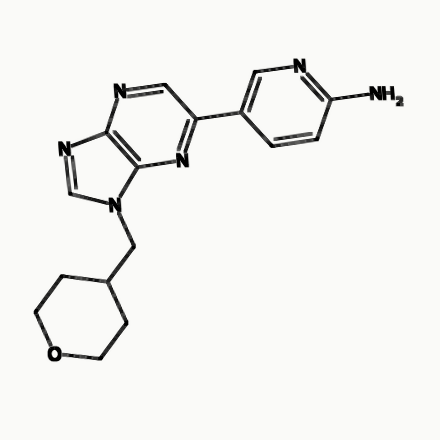 Nc1ccc(-c2cnc3ncn(CC4CCOCC4)c3n2)cn1